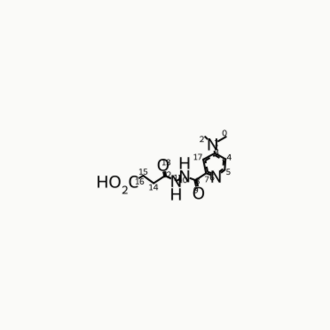 CN(C)c1ccnc(C(=O)NNC(=O)CCC(=O)O)c1